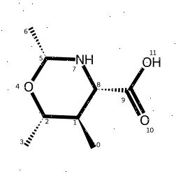 C[C@H]1[C@H](C)O[C@H](C)N[C@@H]1C(=O)O